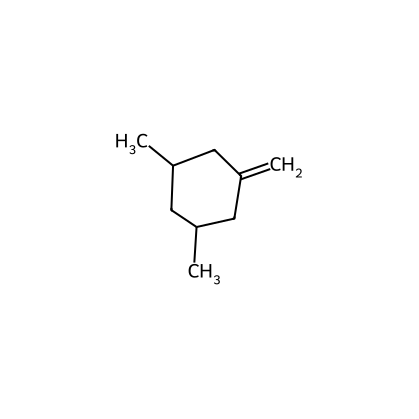 C=C1CC(C)CC(C)C1